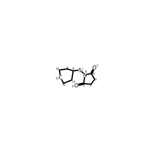 O=C1CCC(=O)N1SC1CCCCC1